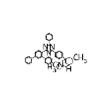 C[C@@H]1C[C@@H]2C[C@H](C)CC(c3ccc(-c4nc(-c5ccccc5)nc(-c5ccc(-c6ccccc6)cc5-c5ccc(C#N)cc5)n4)cc3)(C1)C2